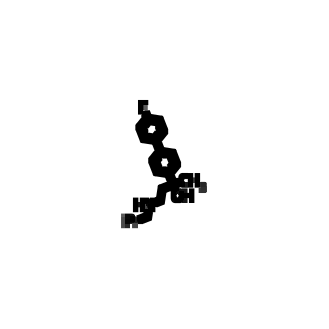 CC(C)CNCCC(C)(O)c1ccc(-c2ccc(F)cc2)cc1